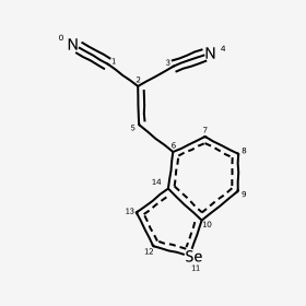 N#CC(C#N)=Cc1cccc2[se]ccc12